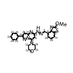 COc1nc2c(/C=N/Nc3cc(N4CCOCC4)n4nc(-c5ccccc5)cc4n3)cccc2s1